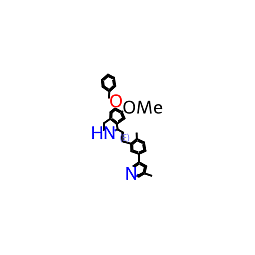 COc1cc2c(cc1OCc1ccccc1)CCNC2/C=C/c1cc(-c2cncc(C)c2)ccc1C